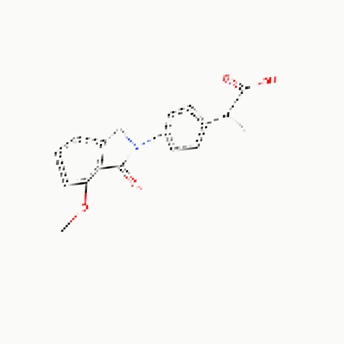 COc1cccc2c1C(=O)N(c1ccc(C(C)C(=O)O)cc1)C2